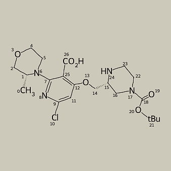 C[C@@H]1COCCN1c1nc(Cl)cc(OC[C@H]2CN(C(=O)OC(C)(C)C)CCN2)c1C(=O)O